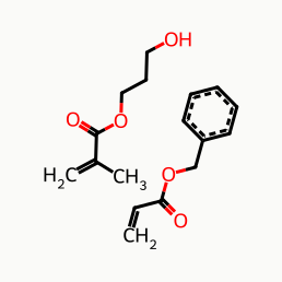 C=C(C)C(=O)OCCCO.C=CC(=O)OCc1ccccc1